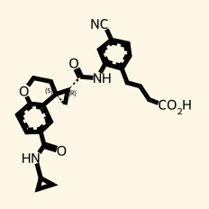 N#Cc1ccc(CCCC(=O)O)c(NC(=O)[C@@H]2C[C@]23CCOc2ccc(C(=O)NC4CC4)cc23)c1